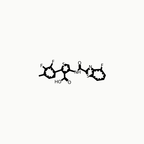 Cc1ccc(-c2scc(NC(=O)c3nc4c(F)cccc4s3)c2C(=O)O)c(F)c1F